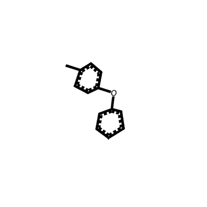 Cc1ccc(Oc2cc[c]cc2)cc1